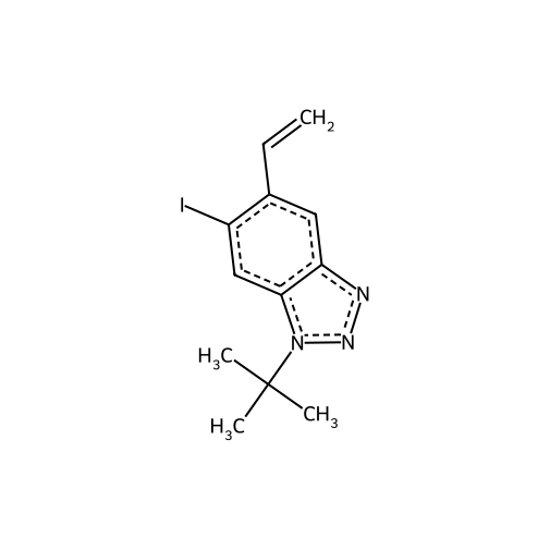 C=Cc1cc2nnn(C(C)(C)C)c2cc1I